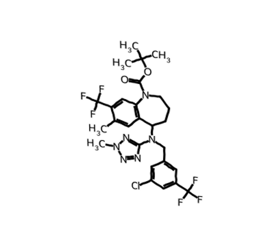 Cc1cc2c(cc1C(F)(F)F)N(C(=O)OC(C)(C)C)CCCC2N(Cc1cc(Cl)cc(C(F)(F)F)c1)c1nnn(C)n1